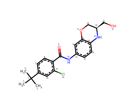 CC(C)(C)c1ccc(C(=O)Nc2ccc3c(c2)OC[C@@H](CO)N3)c(Cl)c1